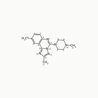 Cc1ccc2nc(N3CCN(C)CC3)n3nc(C)nc3c2c1